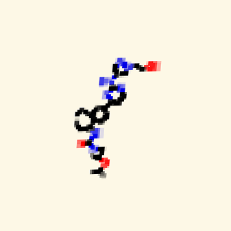 CC(C)OC1CN(C(=O)N[C@H]2CCCCc3cc(-c4ccnc(Nc5cnn(CCO)c5)n4)ccc32)C1